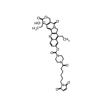 CCc1c2c(nc3ccc(OC(=O)N4CCN(C(=O)CCCCCN5C(=O)C=CC5=O)CC4)cc13)-c1cc3c(c(=O)n1C2)COC(=O)[C@]3(O)CC